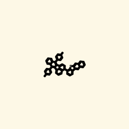 Cc1ccc(-c2c3c(c(-c4ccc(C)cc4)c4ccccc24)-c2ccc(-c4cccc5c4sc4cc6ccccc6cc45)c4cccc-3c24)cc1